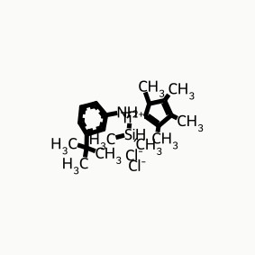 CC1=C(C)C(C)[C]([Ti+2]([NH]c2cccc(C(C)(C)C)c2)[SiH](C)C)=C1C.[Cl-].[Cl-]